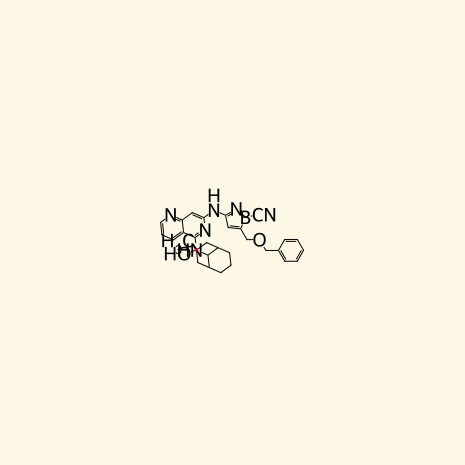 CC1(O)CC2CCCC(C1)C2Nc1nc(NC2=NB(C#N)C(COCc3ccccc3)=C2)cc2ncccc12